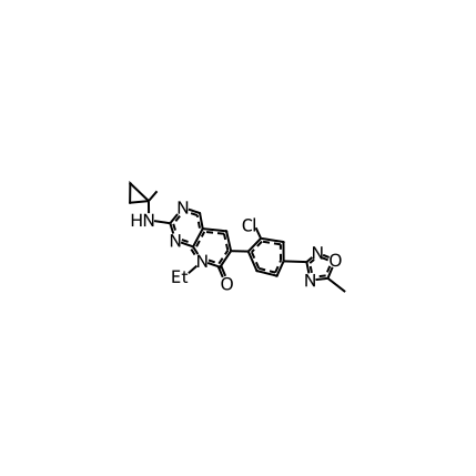 CCn1c(=O)c(-c2ccc(-c3noc(C)n3)cc2Cl)cc2cnc(NC3(C)CC3)nc21